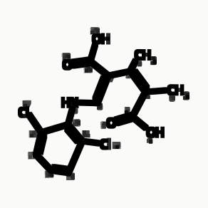 CC(C(=O)O)=C(C)C(=CNc1c(Cl)cccc1Cl)C(=O)O